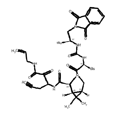 C#CCC(NC(=O)[C@@H]1[C@@H]2[C@H](CN1C(=O)[C@@H](NC(=O)N[C@H](CN1C(=O)c3ccccc3C1=O)C(C)(C)C)C(C)(C)C)C2(C)C)C(=O)C(=O)NCC=C